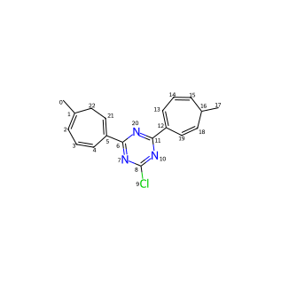 CC1=CC=CC(c2nc(Cl)nc(C3=CC=CC(C)C=C3)n2)=CC1